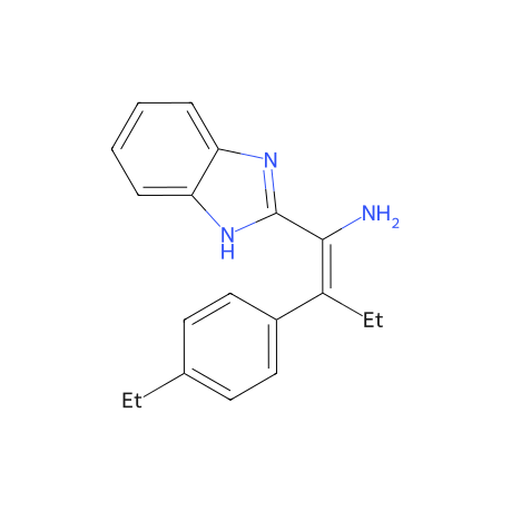 CCC(=C(N)c1nc2ccccc2[nH]1)c1ccc(CC)cc1